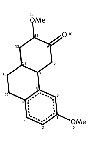 COc1ccc2c(c1)C1CC(=O)C(OC)CC1CC2